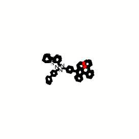 c1ccc(-c2ccc(-c3nc(-c4ccc(-c5c6ccccc6c(-c6ccccc6-c6ccccc6)c6ccccc56)cc4)nc(-c4cccc5c4sc4ccccc45)n3)cc2)cc1